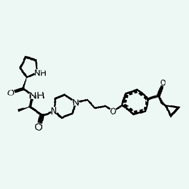 C[C@@H](NC(=O)[C@H]1CCCN1)C(=O)N1CCN(CCCOc2ccc(C(=O)C3CC3)cc2)CC1